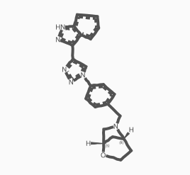 c1ccc2c(-c3cn(-c4ccc(CN5C[C@@H]6C[C@H]5CCO6)cc4)nn3)n[nH]c2c1